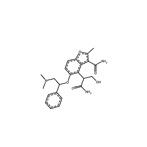 Cc1oc2ccc(OC(CN(C)C)c3ccccc3)c(C(CO)C(N)=O)c2c1C(N)=O